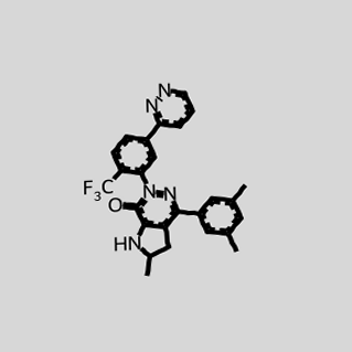 Cc1cc(C)cc(-c2nn(-c3cc(-c4cccnn4)ccc3C(F)(F)F)c(=O)c3c2CC(C)N3)c1